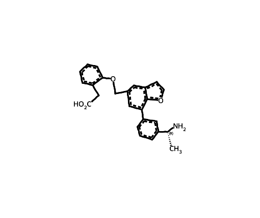 C[C@@H](N)c1cccc(-c2cc(COc3ccccc3CC(=O)O)cc3ccoc23)c1